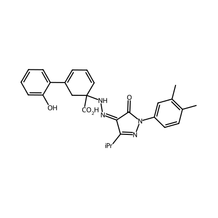 Cc1ccc(N2N=C(C(C)C)/C(=N/NC3(C(=O)O)C=CC=C(c4ccccc4O)C3)C2=O)cc1C